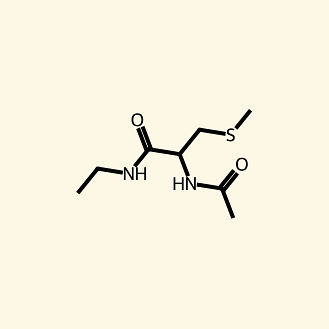 CCNC(=O)C(CSC)NC(C)=O